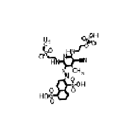 C=CS(=O)(=O)CCNc1nc(NCCOS(=O)(=O)O)c(C#N)c(C)c1/N=N/c1ccc2c(S(=O)(=O)O)cccc2c1S(=O)(=O)O